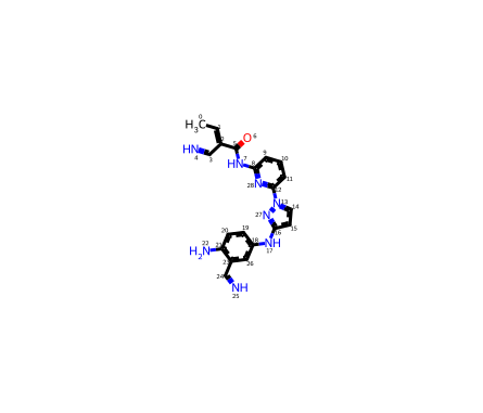 C/C=C(\C=N)C(=O)Nc1cccc(-n2ccc(Nc3ccc(N)c(C=N)c3)n2)n1